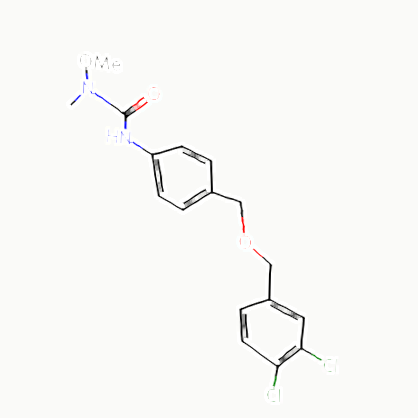 CON(C)C(=O)Nc1ccc(COCc2ccc(Cl)c(Cl)c2)cc1